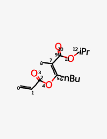 C=CC(=O)OC(CCCC)=C(C)C(=O)OC(C)C